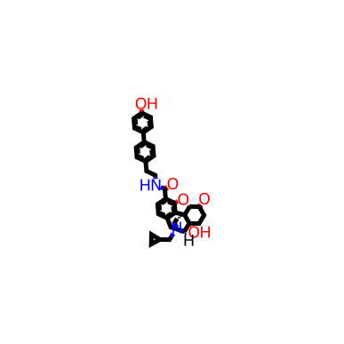 O=C(NCCc1ccc(-c2ccc(O)cc2)cc1)c1ccc2c3c1OC1C(=O)CC[C@@]4(O)[C@@H](C2)N(CC2CC2)CC[C@]314